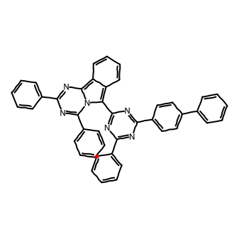 c1ccc(-c2ccc(-c3nc(-c4ccccc4)nc(-c4c5ccccc5c5nc(-c6ccccc6)nc(-c6ccccc6)n45)n3)cc2)cc1